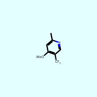 COc1cc(C)ncc1C(F)(F)F